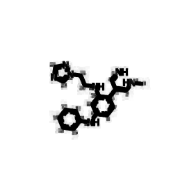 CN/C=C(\C=N)c1ccc(Nc2ccccc2)cc1NCCn1cncn1